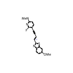 CNc1ccc(C#C/C=C/c2nc3ccc(OC)cc3s2)c(F)n1